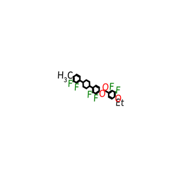 CCOc1ccc(C(=O)Oc2ccc(C3CCC(c4ccc(C)c(F)c4F)CC3)c(F)c2F)c(F)c1F